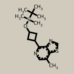 Cc1cnc(C2CC(O[Si](C)(C)C(C)(C)C)C2)c2ncsc12